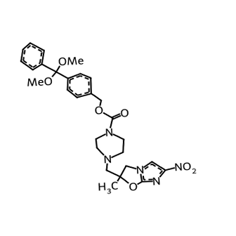 COC(OC)(c1ccccc1)c1ccc(COC(=O)N2CCN(CC3(C)Cn4cc([N+](=O)[O-])nc4O3)CC2)cc1